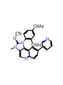 COc1ccc(-n2/c(=N\C#N)n(C)c3cnc4ccc(-c5cccnc5)cc4c32)c(OC)c1